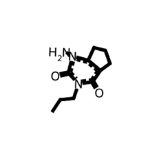 CCCn1c(=O)c2c(n(N)c1=O)CCC2